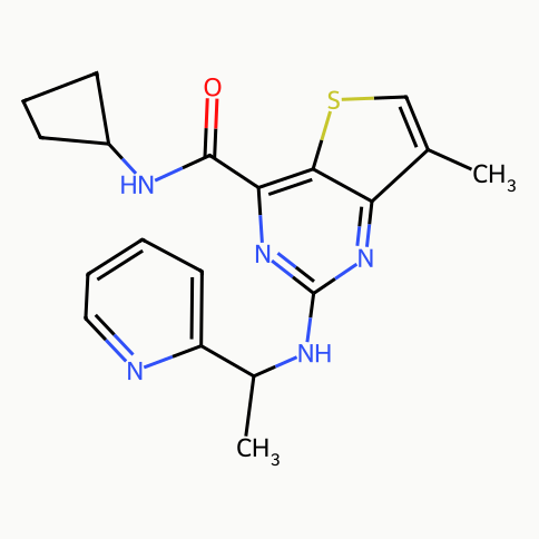 Cc1csc2c(C(=O)NC3CCC3)nc(NC(C)c3ccccn3)nc12